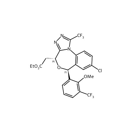 CCOC(=O)C[C@H]1O[C@H](c2cccc(C(F)(F)F)c2OC)c2cc(Cl)ccc2-n2c1nnc2C(F)(F)F